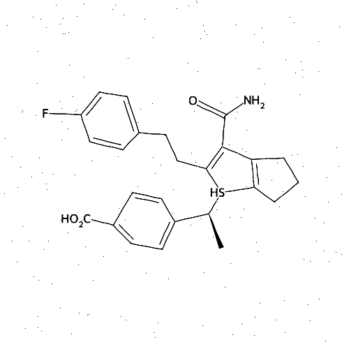 C[C@@H](c1ccc(C(=O)O)cc1)[SH]1C2=C(CCC2)C(C(N)=O)=C1CCc1ccc(F)cc1